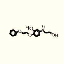 OCCNc1ccc(OCCOc2ccccc2)c(O)c1